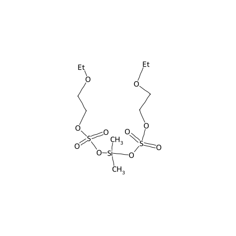 CCOCCOS(=O)(=O)O[Si](C)(C)OS(=O)(=O)OCCOCC